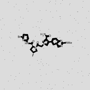 CNc1ncc2cc(-c3cn(CC(=O)N4C[C@H](F)C[C@H]4C(=O)Nc4cccc(Br)n4)nc3C(N)=O)ccc2n1